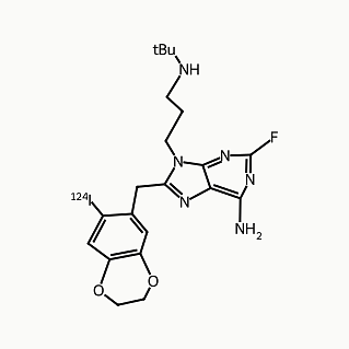 CC(C)(C)NCCCn1c(Cc2cc3c(cc2[124I])OCCO3)nc2c(N)nc(F)nc21